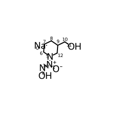 [Na].[O-][N+](=NO)N1CCCC(CO)C1